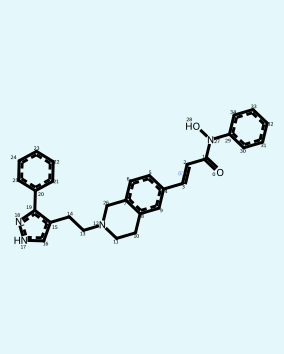 O=C(/C=C/c1ccc2c(c1)CCN(CCc1c[nH]nc1-c1ccccc1)C2)N(O)c1ccccc1